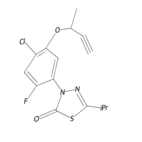 C#CC(C)Oc1cc(-n2nc(C(C)C)sc2=O)c(F)cc1Cl